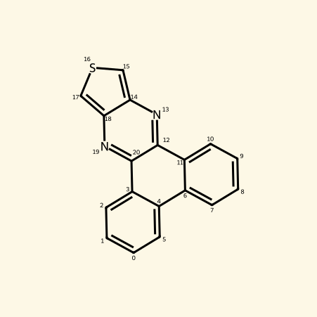 c1ccc2c(c1)c1ccccc1c1nc3cscc3nc21